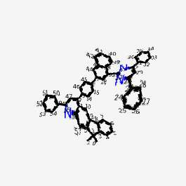 CC1(C)c2ccccc2-c2cc3c(-c4ccc(-c5cc(-c6nc(-c7ccccc7)cc(-c7ccccc7)n6)c6ccccc6c5)cc4)cc(-c4ccccc4)nc3cc21